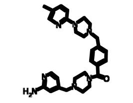 Cc1ccc(N2CCN(Cc3ccc(C(=O)N4CCN(Cc5ccnc(N)c5)CC4)cc3)CC2)nc1